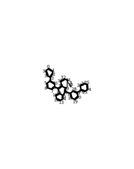 c1ccc(-c2cccc(-c3c4ccccc4c(-c4cccc(-c5ccccc5)c4)c4ncccc34)c2)cc1